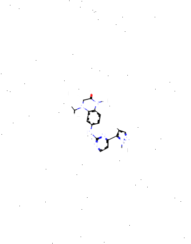 Cc1cnn(C)c1-c1ccnc(Nc2ccc3c(c2)N(C(C)C)[C@H](C)C(=O)N3C)n1